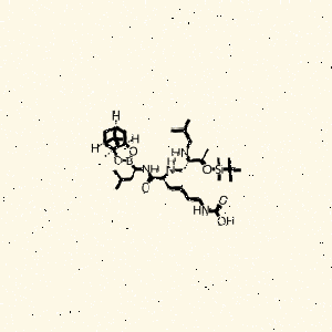 CC(C)CN[C@@H](CN[C@@H](CCCCNC(=O)O)C(=O)N[C@@H](CC(C)C)B1O[C@@H]2C[C@@H]3C[C@@H](C3(C)C)[C@]2(C)O1)[C@@H](C)O[Si](C)(C)C(C)(C)C